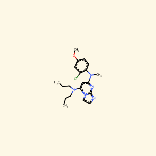 CCCN(CCC)c1cc(N(C)c2ccc(OC)cc2Cl)nc2nccn12